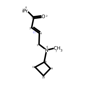 CC(C)C(=O)/C=C/CN(C)C1CCC1